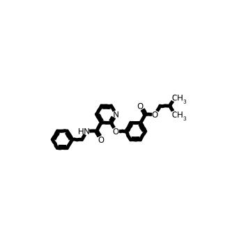 CC(C)COC(=O)c1cccc(Oc2ncccc2C(=O)NCc2ccccc2)c1